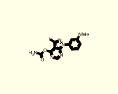 CNc1cccc(-n2nc(I)c3c(OC(N)=O)ncnc32)c1